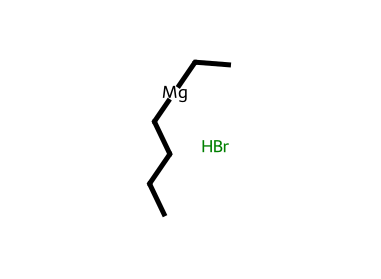 Br.CCC[CH2][Mg][CH2]C